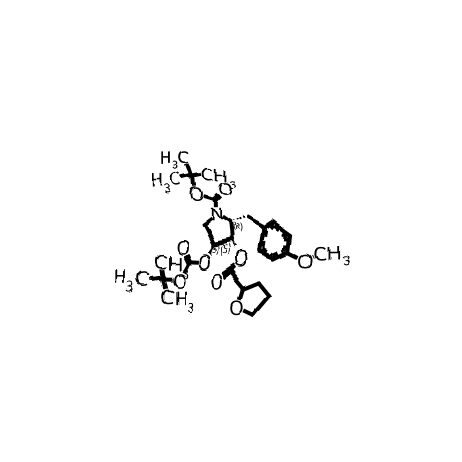 COc1ccc(C[C@@H]2[C@H](OC(=O)C3CCCO3)[C@@H](OC(=O)OC(C)(C)C)CN2C(=O)OC(C)(C)C)cc1